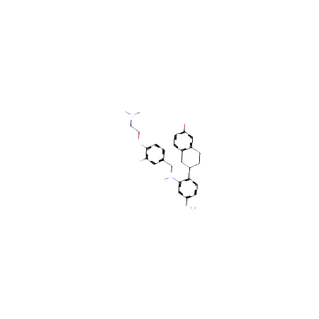 CCN(CC)CCOc1ccc(CN(CC)c2cc(OC)ccc2C2CCc3cc(O)ccc3C2)cc1F